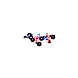 CCCN1CCC[C@@H]2Cc3c(ccc(OCc4ccccc4)c3OC(=O)Nc3cccc(C[C@H](NC(=O)OC(C)(C)C)C(=O)OCc4ccccc4)c3)C[C@H]21